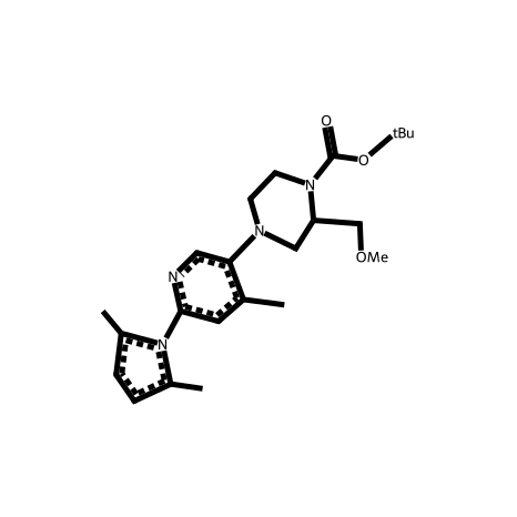 COCC1CN(c2cnc(-n3c(C)ccc3C)cc2C)CCN1C(=O)OC(C)(C)C